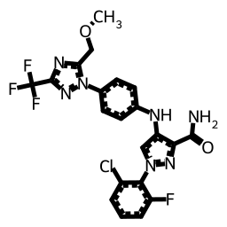 COCc1nc(C(F)(F)F)nn1-c1ccc(Nc2cn(-c3c(F)cccc3Cl)nc2C(N)=O)cc1